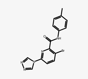 Cc1ccc(NC(=O)c2nc(-n3cnnc3)ccc2Br)cc1